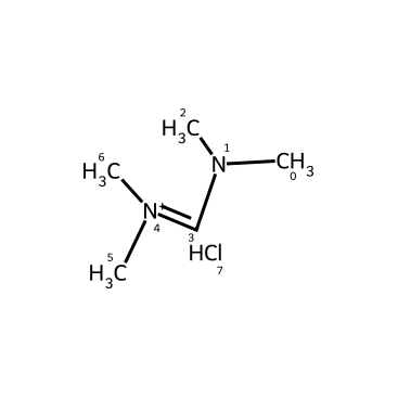 CN(C)C=[N+](C)C.Cl